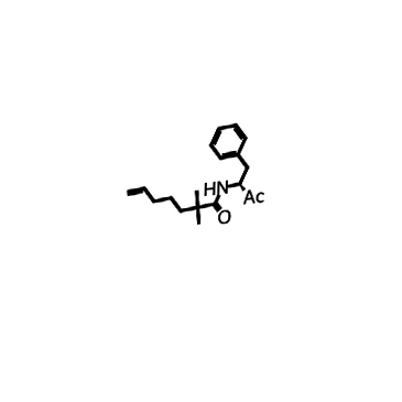 C=CCCCC(C)(C)C(=O)N[C@@H](Cc1ccccc1)C(C)=O